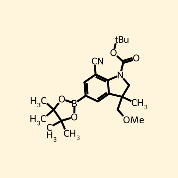 COCC1(C)CN(C(=O)OC(C)(C)C)c2c(C#N)cc(B3OC(C)(C)C(C)(C)O3)cc21